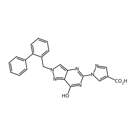 O=C(O)c1cnn(-c2nc(O)c3nn(Cc4ccccc4-c4ccccc4)cc3n2)c1